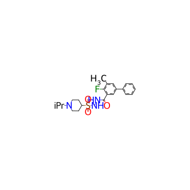 Cc1cc(-c2ccccc2)cc(C(=O)NNS(=O)(=O)C2CCN(C(C)C)CC2)c1F